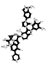 Cc1cc(-n2nc3c(c2-n2ccn(-c4ccc5c(cnn5C)c4)c2=O)[C@H](C)N(C(O)c2cc4c(F)c(C5CCOCC5)ccc4n2[C@@]2(C(=N)NC(=O)O)C[C@@H]2C)CC3)cc(C)c1F